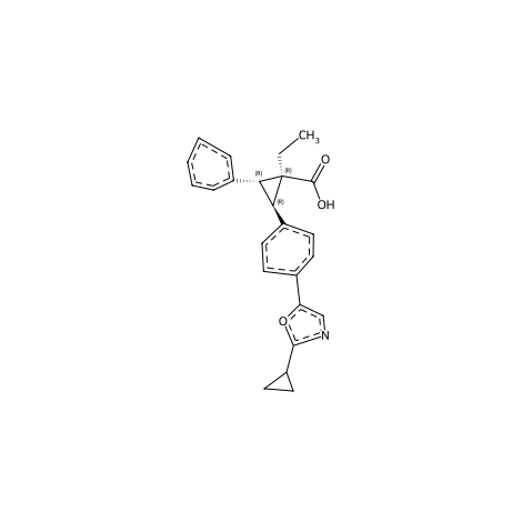 CC[C@@]1(C(=O)O)[C@@H](c2ccccc2)[C@@H]1c1ccc(-c2cnc(C3CC3)o2)cc1